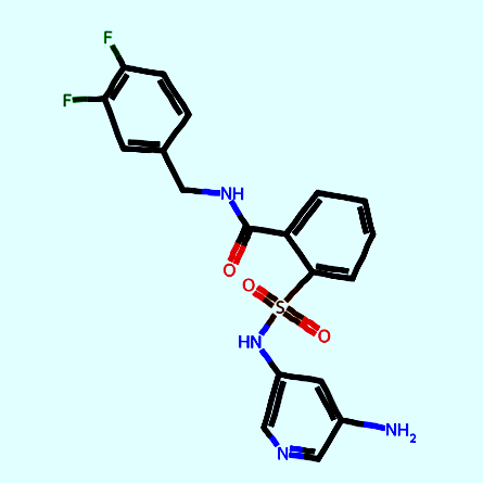 Nc1cncc(NS(=O)(=O)c2ccccc2C(=O)NCc2ccc(F)c(F)c2)c1